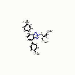 CC(=O)OCC1(Cn2nc3c(-c4ccc(C(C)(C)C)cc4)ccc(-c4ccc(C(C)(C)C)cc4)c3n2)CC1OC(C)=O